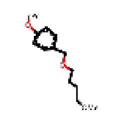 CCCOc1ccc(COCCCCOC)cc1